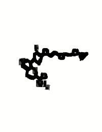 NC(=O)c1ccc2cncc(-c3ccc(OCCOCCOC4CC4)c(F)c3)c2n1